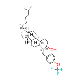 CC(C)CCC[C@@H](C)[C@H]1CC[C@H]2[C@@H]3CCC4[C@H](Cc5ccc(OC(F)(F)F)cc5)[C@H](O)CC[C@]4(C)[C@H]3CC[C@]12C